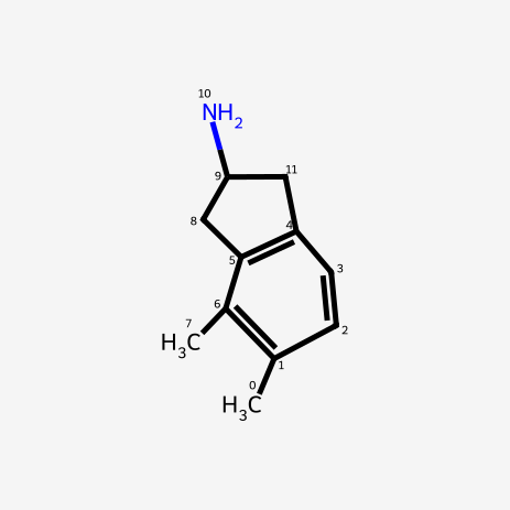 Cc1ccc2c(c1C)CC(N)C2